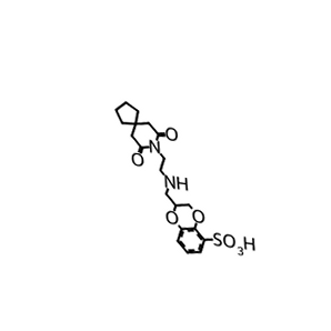 O=C1CC2(CCCC2)CC(=O)N1CCNCC1COc2c(cccc2S(=O)(=O)O)O1